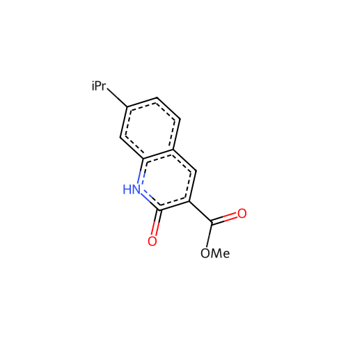 COC(=O)c1cc2ccc(C(C)C)cc2[nH]c1=O